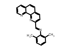 Cc1cccc(C)c1/N=C/c1ccc2ccc3cccnc3c2n1